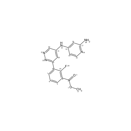 COC(=O)c1cccc(-c2cc(Nc3ccnc(N)c3)cnn2)c1F